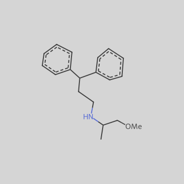 COCC(C)NCCC(c1ccccc1)c1ccccc1